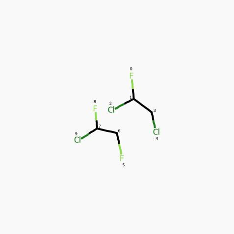 FC(Cl)CCl.FCC(F)Cl